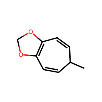 CC1C=CC2=C(C=C1)OCO2